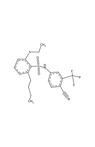 CCCCc1cccc(SCC)c1S(=O)(=O)Nc1ccc(C#N)c(C(F)(F)F)c1